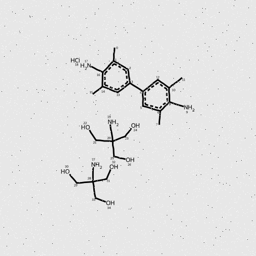 Cc1cc(-c2cc(C)c(N)c(C)c2)cc(C)c1N.Cl.NC(CO)(CO)CO.NC(CO)(CO)CO